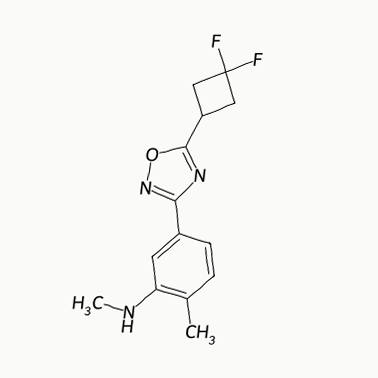 CNc1cc(-c2noc(C3CC(F)(F)C3)n2)ccc1C